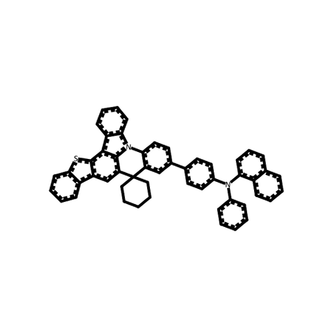 c1ccc(N(c2ccc(-c3ccc4c(c3)C3(CCCCC3)c3cc5c6ccccc6sc5c5c6ccccc6n-4c35)cc2)c2cccc3ccccc23)cc1